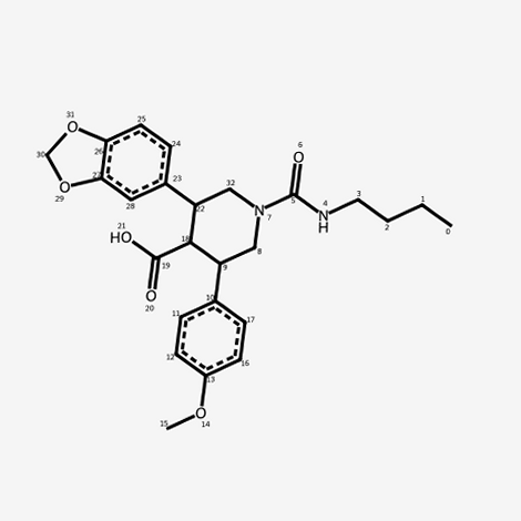 CCCCNC(=O)N1CC(c2ccc(OC)cc2)C(C(=O)O)C(c2ccc3c(c2)OCO3)C1